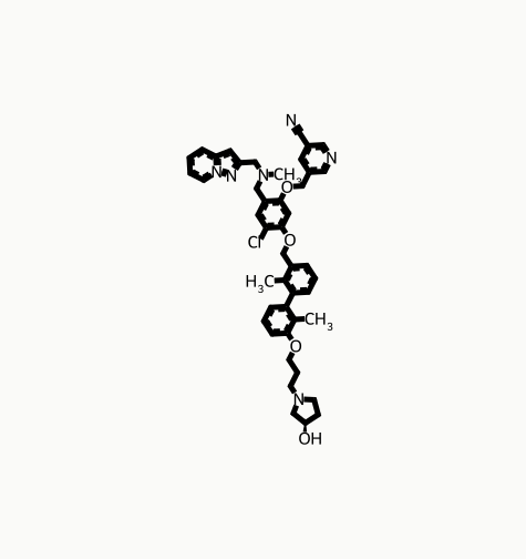 Cc1c(COc2cc(OCc3cncc(C#N)c3)c(CN(C)Cc3cc4ccccn4n3)cc2Cl)cccc1-c1cccc(OCCCN2CC[C@@H](O)C2)c1C